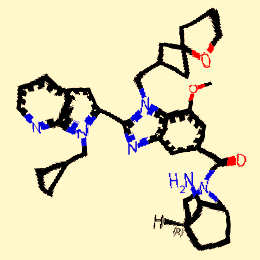 COc1cc(C(=O)N2C[C@H]3CCC2C3N)cc2nc(-c3cc4cccnc4n3CC3CC3)n(CC3CC4(CCCO4)C3)c12